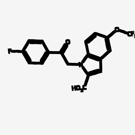 O=C(Cn1c(C(=O)O)cc2cc(OC(F)(F)F)ccc21)c1ccc(F)cc1